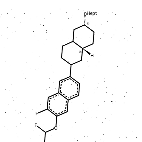 CCCCCCC[C@@H]1CC[C@@H]2CC(c3ccc4cc(OC(F)F)c(F)cc4c3)CCC2C1